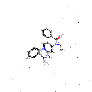 CCN(C(=O)c1ccccc1)c1ccnc(N[C@@H](C)c2ccccc2)c1